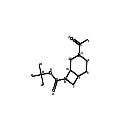 CC(=O)N1CCC2CN(C(=O)OC(C)(C)C)C2C1